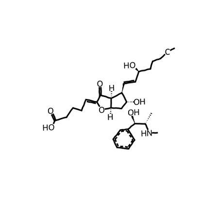 CCCCC[C@H](O)/C=C/[C@@H]1[C@@H]2C(=O)/C(=C/CCCC(=O)O)O[C@@H]2C[C@H]1O.CN[C@@H](C)[C@H](O)c1ccccc1